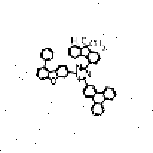 CC1(C)c2ccccc2-c2c(-c3nc(-c4ccc5c(c4)oc4cccc(-c6ccccc6)c45)nc(-c4ccc5c6ccccc6c6ccccc6c5c4)n3)cccc21